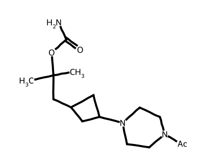 CC(=O)N1CCN(C2CC(CC(C)(C)OC(N)=O)C2)CC1